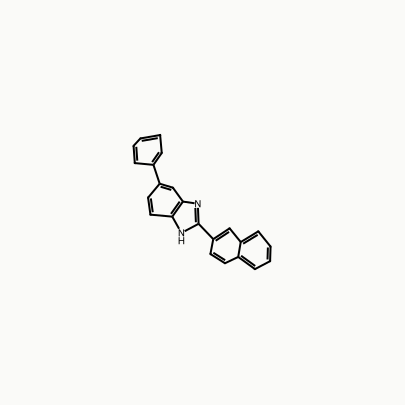 c1ccc(-c2ccc3[nH]c(-c4ccc5ccccc5c4)nc3c2)cc1